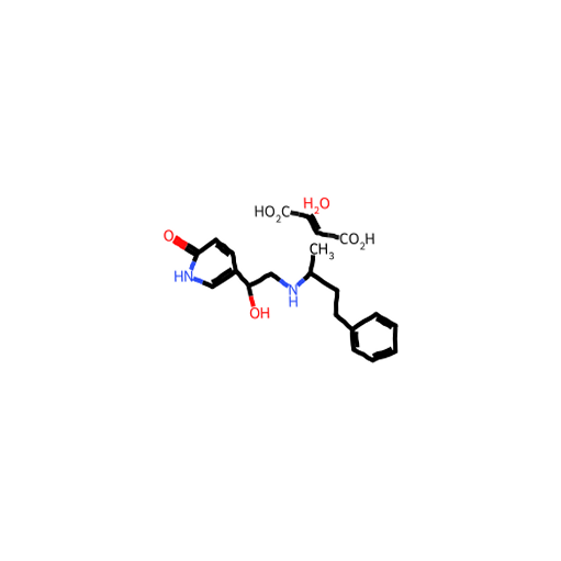 CC(CCc1ccccc1)NCC(O)c1ccc(=O)[nH]c1.O.O=C(O)C=CC(=O)O